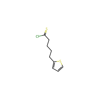 S=C(Cl)CCCCc1cccs1